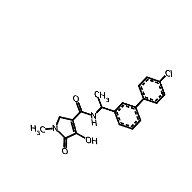 CC(NC(=O)C1=C(O)C(=O)N(C)C1)c1cccc(-c2ccc(Cl)cc2)c1